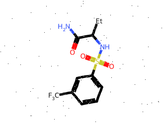 CCC(NS(=O)(=O)c1cccc(C(F)(F)F)c1)C(N)=O